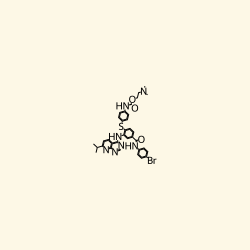 CC(C)c1ccc2c(Nc3cc(C(=O)Nc4ccc(Br)cc4)ccc3Sc3ccc(NC(=O)OCCN(C)C)cc3)ncnc2n1